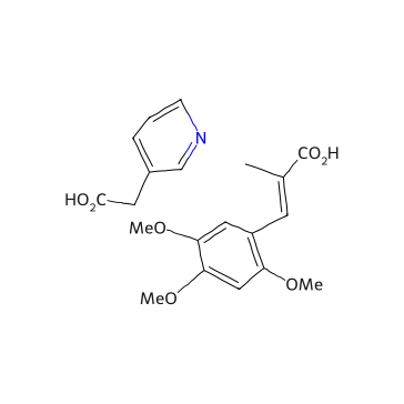 COc1cc(OC)c(OC)cc1C=C(C)C(=O)O.O=C(O)Cc1cccnc1